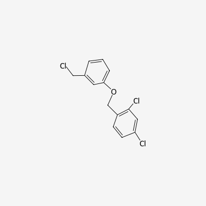 ClCc1cccc(OCc2ccc(Cl)cc2Cl)c1